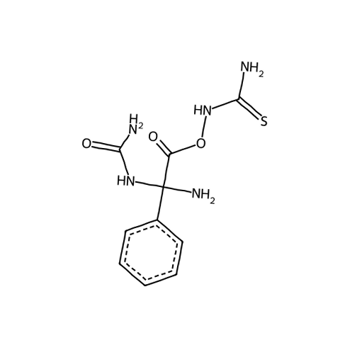 NC(=O)NC(N)(C(=O)ONC(N)=S)c1ccccc1